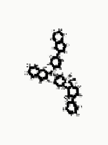 C[Si]1(C)c2cc(N(c3ccc(-c4ccc5ccccc5c4)cc3)c3ccc4ccccc4c3)ccc2-c2c1ccc1c2sc2ccccc21